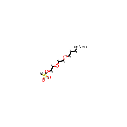 CCCCCCCCCCCCOCCOCCOS(C)(=O)=O